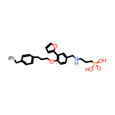 CC(C)Cc1ccc(CCCOc2ccc(CNCCCP(=O)(O)O)cc2-c2ccco2)cc1